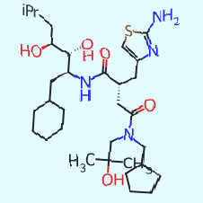 CC(C)C[C@H](O)[C@H](O)[C@H](CC1CCCCC1)NC(=O)[C@@H](CC(=O)N(CC1CCCC1)CC(C)(C)O)Cc1csc(N)n1